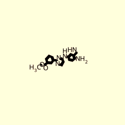 COC(=O)c1cccc(-c2nccc(Nc3ccc(N)c(C=N)c3)n2)c1